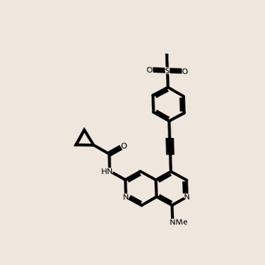 CNc1ncc(C#Cc2ccc(S(C)(=O)=O)cc2)c2cc(NC(=O)C3CC3)ncc12